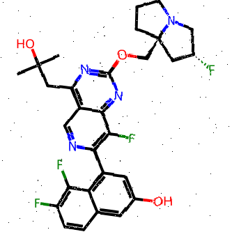 CC(C)(O)Cc1nc(OC[C@@]23CCCN2C[C@H](F)C3)nc2c(F)c(-c3cc(O)cc4ccc(F)c(F)c34)ncc12